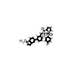 Cn1ccc2cc(-c3cccc(CNC(=O)[C@@H]4CCCN4S(=O)(=O)c4ccc(F)cc4)c3)ccc21